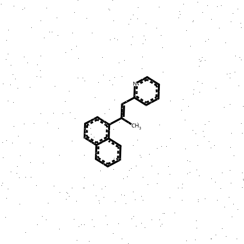 C/C(=C\c1ccccn1)c1cccc2ccccc12